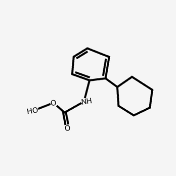 O=C(Nc1ccccc1C1CCCCC1)OO